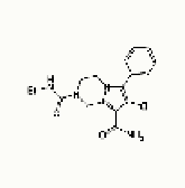 CCNC(=O)N1CCn2c(c(C(N)=O)c(Cl)c2-c2ccccc2)C1